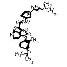 Cc1cc(OC(C)C)ccc1N1C(=O)Nc2c(C(=O)N[C@H]3CC[C@@H](C(N)/C=C/CN(C)C)C3)sc3nccc1c23